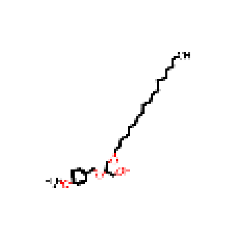 CCCCCCCCCCCCCCCCCCOCC(CO)OCc1ccc(OC)cc1